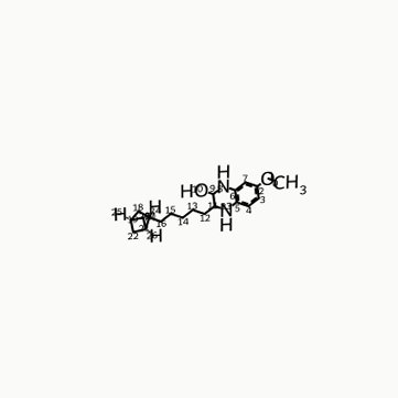 COc1ccc2c(c1)NC(O)C(CCCCC[C@H]1C[C@H]3C[C@@H]1C3)N2